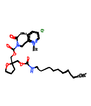 CCCCCCCCCCCCCCCCCCNC(=O)OCC1(COC(=O)N(Cc2cccc[n+]2CC)C(=O)C(C)(C)C)CCCO1.[Cl-]